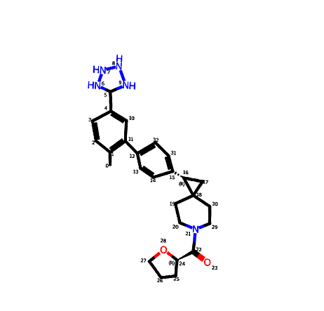 Cc1ccc(C2NNNN2)cc1-c1ccc([C@@H]2CC23CCN(C(=O)[C@H]2CCCO2)CC3)cc1